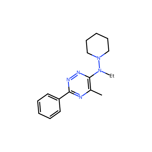 CCN(c1nnc(-c2ccccc2)nc1C)N1CCCCC1